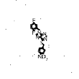 O=[N+]([O-])c1ccc(CSc2ncnc3c2ncn3Cc2cc(F)ccc2F)cc1